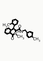 Cc1ccc(CNC(=O)c2c(-c3ccccc3C)c3ccccc3c(=O)n2C)cc1